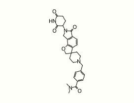 CN(C)C(=O)c1ccc(CN2CCC3(CC2)COc2c3ccc3c2CN(C2CCC(=O)NC2=O)C3=O)cc1